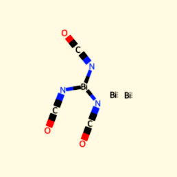 O=C=[N][Bi]([N]=C=O)[N]=C=O.[Bi].[Bi]